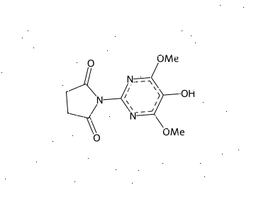 COc1nc(N2C(=O)CCC2=O)nc(OC)c1O